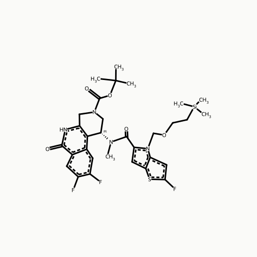 CN(C(=O)c1cc2sc(F)cc2n1COCC[Si](C)(C)C)[C@H]1CN(C(=O)OC(C)(C)C)Cc2[nH]c(=O)c3cc(F)c(F)cc3c21